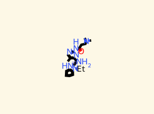 CCN1/C(=C(\N)c2nc(NC(=O)CCN(C)C)ncc2C)Nc2ccccc21